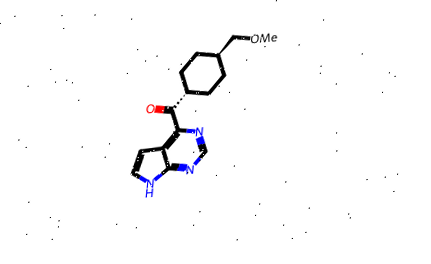 COC[C@H]1CC[C@H](C(=O)c2ncnc3[nH]ccc23)CC1